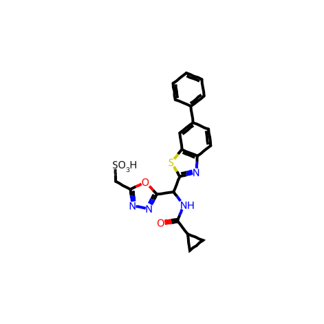 O=C(NC(c1nnc(CS(=O)(=O)O)o1)c1nc2ccc(-c3ccccc3)cc2s1)C1CC1